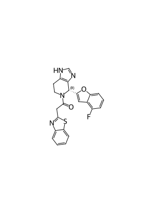 O=C(Cc1nc2ccccc2s1)N1CCc2[nH]cnc2[C@@H]1c1cc2c(F)cccc2o1